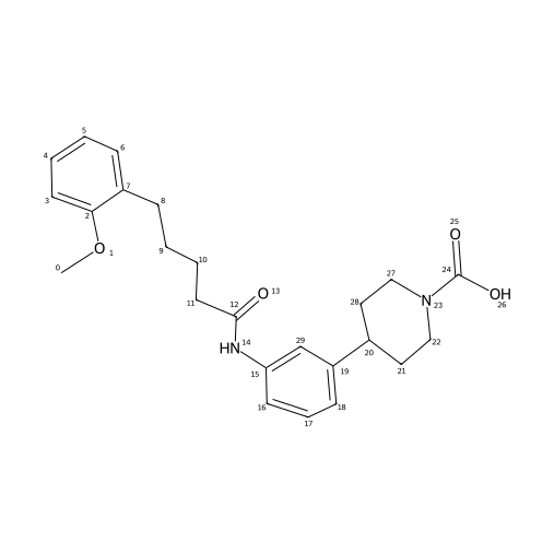 COc1ccccc1CCCCC(=O)Nc1cccc(C2CCN(C(=O)O)CC2)c1